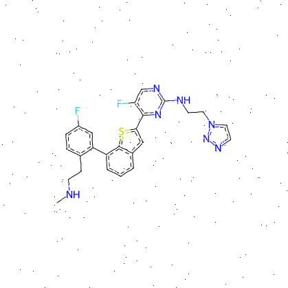 CNCCc1ccc(F)cc1-c1cccc2cc(-c3nc(NCCn4ccnn4)ncc3F)sc12